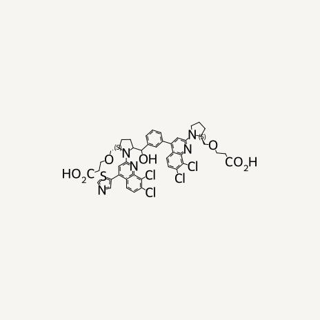 O=C(O)CCOC[C@@H]1CCCN1c1cc(-c2cccc(C(O)C3CC[C@@H](COCCC(=O)O)N3c3cc(-c4cncs4)c4ccc(Cl)c(Cl)c4n3)c2)c2ccc(Cl)c(Cl)c2n1